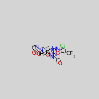 O=C(Cn1c2c(c(=O)n3nc(C4=CCOCC4)nc13)[C@@]1(CC2)CCN(C(=O)c2ncccc2O)[C@H]2CC[C@H]21)Nc1ccc(C(F)(F)F)cc1Cl